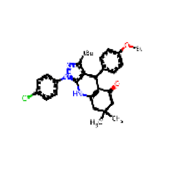 CCOc1ccc(C2C3=C(CC(C)(C)CC3=O)Nc3c2c(C(C)(C)C)nn3-c2ccc(Cl)cc2)cc1